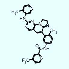 Cc1ccncc1Nc1ncc2c(n1)N1CCN=C1C(c1cc(NC(=O)c3cc(C(F)(F)F)ccn3)ccc1C)=C2